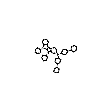 c1ccc(-c2ccc(N(c3ccc(-c4ccccc4)cc3)c3ccc4c5c6ccccc6n(-c6ccccc6)c5n(-c5ccccc5)c4c3)cc2)cc1